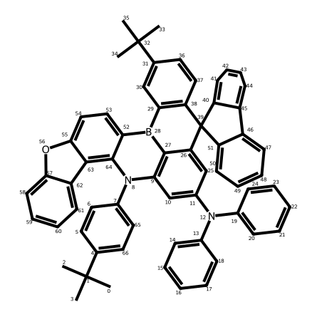 CC(C)(C)c1ccc(N2c3cc(N(c4ccccc4)c4ccccc4)cc4c3B(c3cc(C(C)(C)C)ccc3C43c4ccccc4-c4ccccc43)c3ccc4oc5ccccc5c4c32)cc1